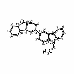 CCn1c2ccccc2c2cc(-c3ccc4c(c3)C3C=CC=CC3O4)ccc21